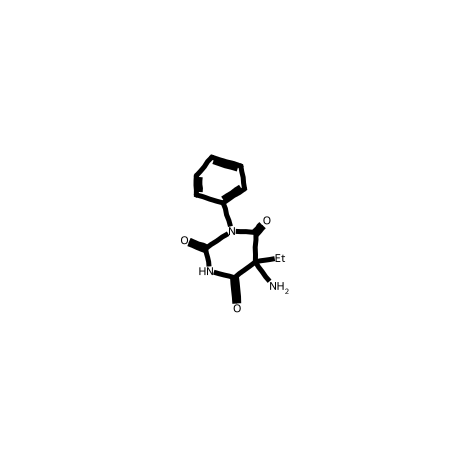 CCC1(N)C(=O)NC(=O)N(c2ccccc2)C1=O